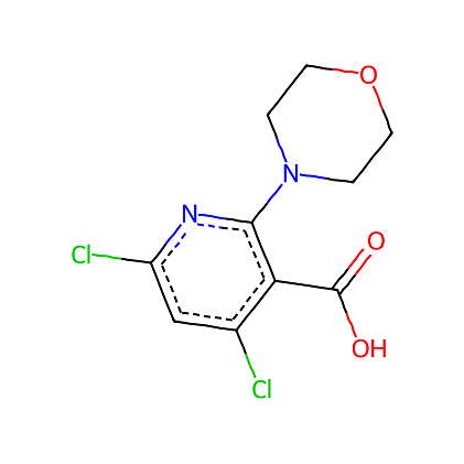 O=C(O)c1c(Cl)cc(Cl)nc1N1CCOCC1